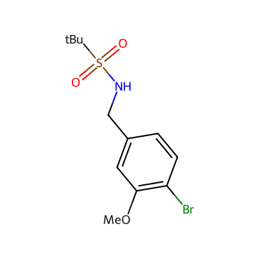 COc1cc(CNS(=O)(=O)C(C)(C)C)ccc1Br